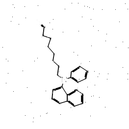 S=CCCCCCCCN(c1ccccc1)c1cccc2ccccc12